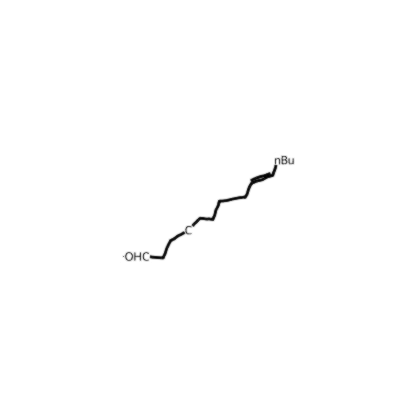 CCCCC=CCCCCCCC[C]=O